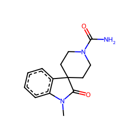 CN1C(=O)C2(CCN(C(N)=O)CC2)c2ccccc21